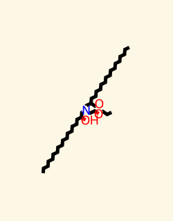 CCCCCCCCCCCCCCCCC(O)CN(CCOCCC)CC(C=O)CCCCCCCCCCCCCCCC